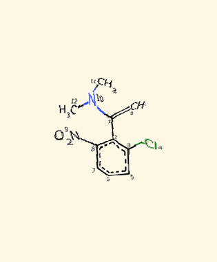 [CH]=C(c1c(Cl)cccc1[N+](=O)[O-])N(C)C